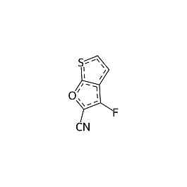 N#Cc1oc2sccc2c1F